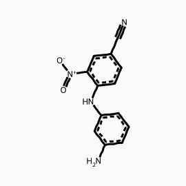 N#Cc1ccc(Nc2cccc(N)c2)c([N+](=O)[O-])c1